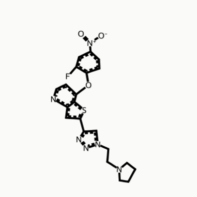 O=[N+]([O-])c1ccc(Oc2ccnc3cc(-c4cn(CCN5CCCC5)nn4)sc23)c(F)c1